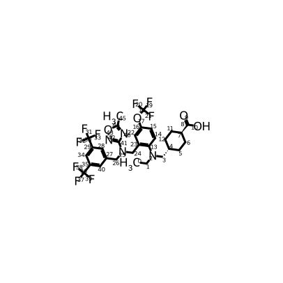 CCN(C[C@H]1CC[C@H](C(=O)O)CC1)c1ccc(OC(F)(F)F)cc1CN(Cc1cc(C(F)(F)F)cc(C(F)(F)F)c1)c1noc(C)n1